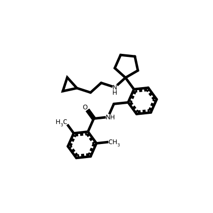 Cc1cccc(C)c1C(=O)NCc1ccccc1C1(NCCC2CC2)CCCC1